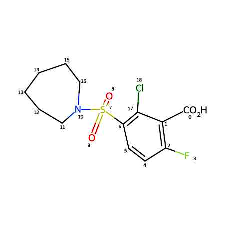 O=C(O)c1c(F)ccc(S(=O)(=O)N2CCCCCC2)c1Cl